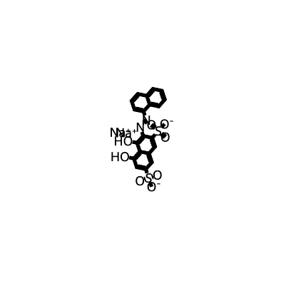 O=S(=O)([O-])c1cc(O)c2c(O)c(N=Nc3cccc4ccccc34)c(S(=O)(=O)[O-])cc2c1.[Na+].[Na+]